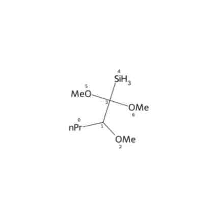 CCCC(OC)C([SiH3])(OC)OC